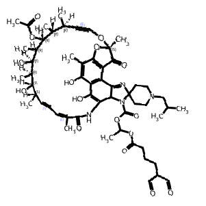 CC(=O)O[C@H]1[C@H](C)[C@H](O)[C@H](C)[C@@H](O)[C@@H](C)/C=C/C=C(/C)C(=O)NC2=C(O)c3c(O)c(C)c4c(c3C3=NC5(CCN(CC(C)C)CC5)N(C(=O)OC(C)OC(=O)CCCC(C=O)C=O)C32)C(=O)[C@@](C)(O/C=C/[C@H](C)[C@H]1C)O4